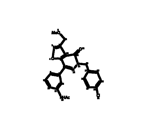 COCc1noc2c(-c3cccc(NC(C)=O)c3)nn(Cc3ccc(Cl)cc3)c(=O)c12